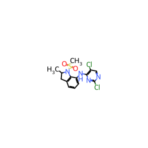 CC1Cc2cccc(Nc3nc(Cl)ncc3Cl)c2N1S(C)(=O)=O